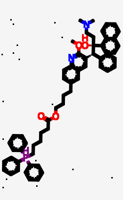 COc1nc2ccc(CCCCOC(=O)CCCCC[PH](c3ccccc3)(c3ccccc3)c3ccccc3)cc2cc1[C@@H](c1ccccc1)[C@@](O)(CCN(C)C)c1cccc2ccccc12